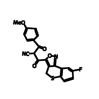 COc1ccc(C(=O)C(C#N)C(=O)c2onc3c2CSc2ccc(F)cc2-3)cc1